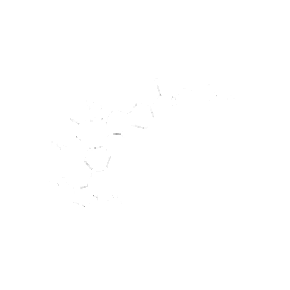 Cc1cnn(C)c1-c1ccc2c(c1)N(C)C(=O)[C@@H](C)N(Cc1cccc(C(=O)NCC3CC(O)C3)c1)C2=O